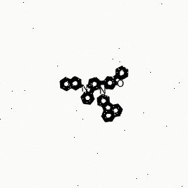 c1ccc2cc(-n3c4ccccc4c4c3ccc3c5cc6c(cc5n(-c5ccc7c(c5)-c5cccc8cccc-7c58)c34)oc3ccccc36)ccc2c1